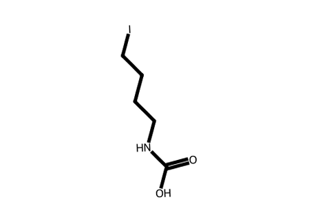 O=C(O)NCCCCI